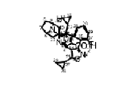 O=C(O)c1cnc(N2C3CC[C@H]2CC(OCc2c(-c4c(F)cccc4F)noc2C2CC2)C3)c(C2CC2)c1